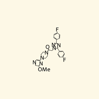 COc1cncc(N2CCN(C(=O)Cn3nc(-c4ccc(F)cc4)nc3-c3ccc(F)cc3)CC2)n1